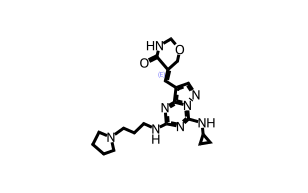 O=C1NCOC/C1=C\c1cnn2c(NC3CC3)nc(NCCCN3CCCC3)nc12